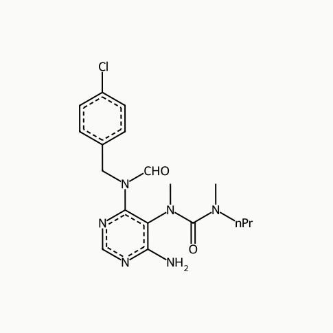 CCCN(C)C(=O)N(C)c1c(N)ncnc1N(C=O)Cc1ccc(Cl)cc1